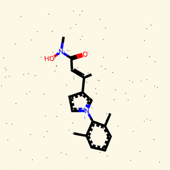 CC(=CC(=O)N(C)O)c1ccn(-c2c(C)cccc2C)c1